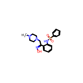 CN1CCN(CC(=NO)c2ccccc2NS(=O)(=O)c2ccccc2)CC1